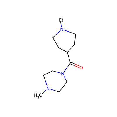 CCN1CCC(C(=O)N2CCN(C)CC2)CC1